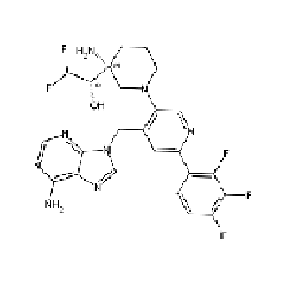 Nc1ncnc2c1ncn2Cc1cc(-c2ccc(F)c(F)c2F)ncc1N1CCC[C@](N)([C@H](O)C(F)F)C1